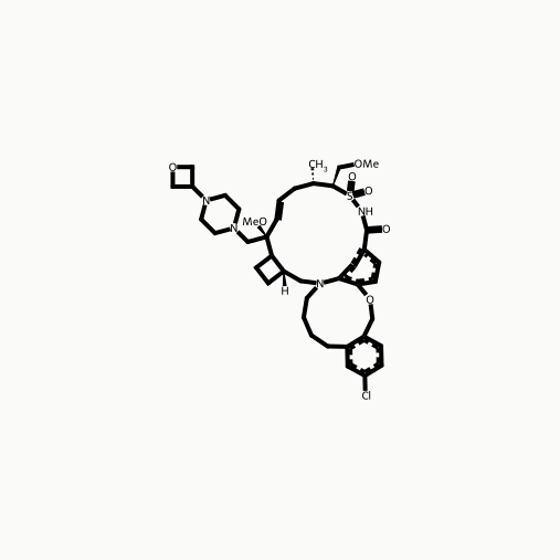 COC[C@@H]1[C@@H](C)C/C=C/[C@](CN2CCN(C3COC3)CC2)(OC)C2CC[C@H]2CN2CCCCc3cc(Cl)ccc3COc3ccc(cc32)C(=O)NS1(=O)=O